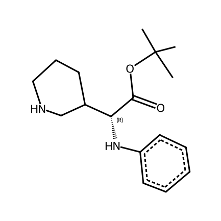 CC(C)(C)OC(=O)[C@H](Nc1ccccc1)C1CCCNC1